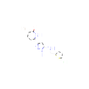 O=c1[nH]c(-c2cc(NCc3ccc(Cl)s3)[nH]n2)ccc1Br